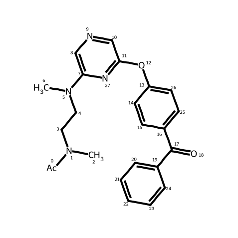 CC(=O)N(C)CCN(C)c1cncc(Oc2ccc(C(=O)c3ccccc3)cc2)n1